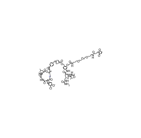 COc1ccc(C[C@H]2NC(=O)/C=C/C[C@@H]([C@H](C)[C@H]3O[C@@H]3c3ccc(CN4CCN(C(=O)OCc5ccc(NC(=O)[C@H](CCCNC(N)=O)NC(=O)[C@@H](NC(C)=O)C(C)C)cc5OCC(=O)NCCCOCCOCCOCCCNC(=O)CCN5C(=O)C=CC5=O)CC4)cc3)OC(=O)[C@H](CC(C)C)NC(=O)C(C)(C)CNC2=O)cc1Cl